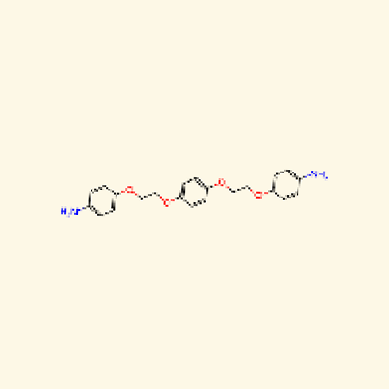 Nc1ccc(OCCOc2ccc(OCCOc3ccc(N)cc3)cc2)cc1